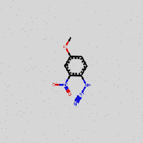 COc1ccc(N[N+]#N)c([N+](=O)[O-])c1